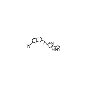 N#Cc1ccc2c(c1)CC(COc1ccc(-c3ccn[nH]3)nc1)CC2